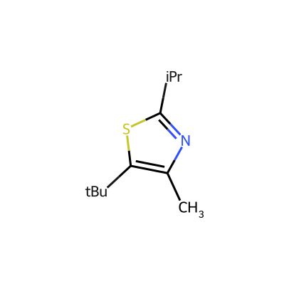 Cc1nc(C(C)C)sc1C(C)(C)C